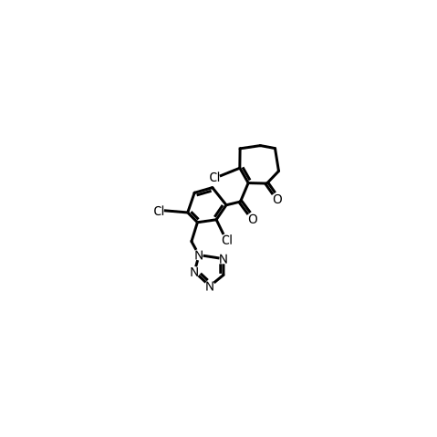 O=C1CCCCC(Cl)=C1C(=O)c1ccc(Cl)c(Cn2ncnn2)c1Cl